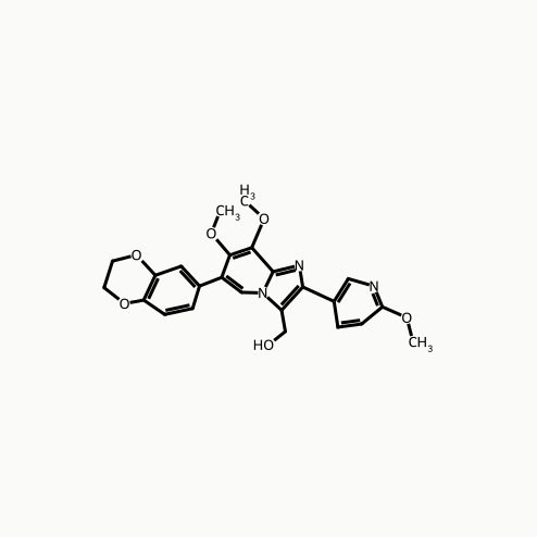 COc1ccc(-c2nc3c(OC)c(OC)c(-c4ccc5c(c4)OCCO5)cn3c2CO)cn1